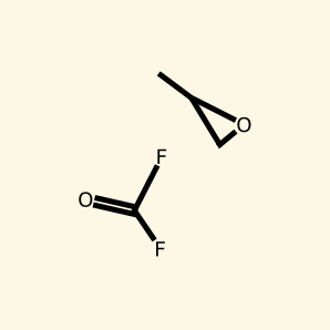 CC1CO1.O=C(F)F